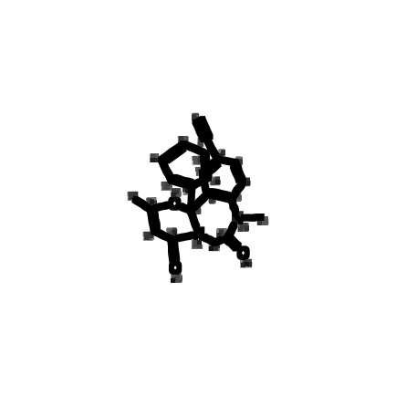 C#Cc1ccc2c(c1)C1(c3ccccc3)OC(C)=CC(=O)N1CC(=O)N2C